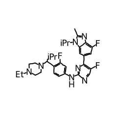 CCN1CCN(C(c2ccc(Nc3ncc(F)c(-c4cc(F)c5nc(C)n(C(C)C)c5c4)n3)cc2F)C(C)C)CC1